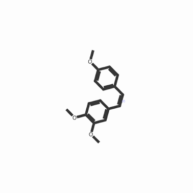 COc1ccc(/C=C\c2ccc(OC)c(OC)c2)cc1